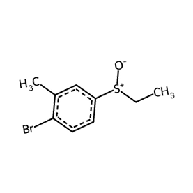 CC[S+]([O-])c1ccc(Br)c(C)c1